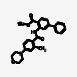 Cc1cc(N2CCOCC2)ccc1C(=O)Nc1cc(-c2ccccc2)ccc1C(=O)OC(C)(C)C